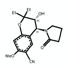 CCC1(CC)Oc2cc(OC)c(C#N)cc2[C@H](N2CCCC2=O)[C@H]1O